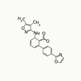 Cc1onc(NC2C=CC=C(c3ccc(-c4ncco4)cc3)C2=S(=O)=O)c1C